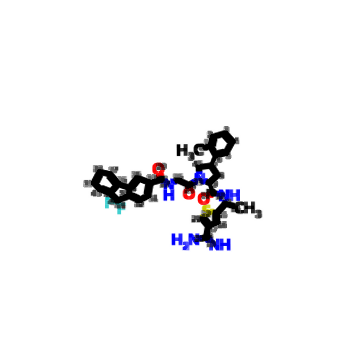 Cc1ccccc1[C@H]1C[C@@H](C(=O)NC(C)c2cc(C(=N)N)cs2)N(C(=O)CNC(=O)c2ccc3c(c2)-c2ccccc2C3(F)F)C1